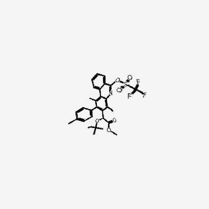 COC(=O)[C@@H](OC(C)(C)C)c1c(-c2ccc(C)cc2)c(C)c2c(nc(OS(=O)(=O)C(F)(F)F)c3ccccc32)c1C